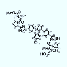 COC(=O)N[C@H](C(=O)N1CCC[C@H]1c1nc(-c2ccc([C@@H]3CC[C@@H](c4ccc(-c5c[nH]c([C@@H]6CCCN6C(=O)[C@H](C(C)C)N(C)C(=O)O)n5)cc4)N3c3ccc(C(F)(F)F)cc3)cc2)c[nH]1)C(C)C